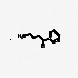 CCCCC(Cl)c1cccnn1